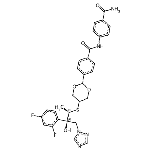 C[C@@H](SC1COC(c2ccc(C(=O)Nc3ccc(C(N)=O)cc3)cc2)OC1)[C@](O)(Cn1cncn1)c1ccc(F)cc1F